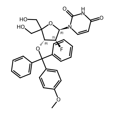 COc1ccc(C(O[C@H]2[C@H](F)[C@H](n3ccc(=O)[nH]c3=O)OC2(CO)CO)(c2ccccc2)c2ccccc2)cc1